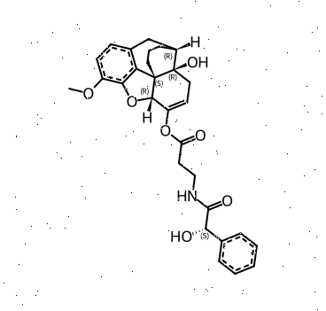 COc1ccc2c3c1O[C@H]1C(OC(=O)CCNC(=O)[C@@H](O)c4ccccc4)=CC[C@@]4(O)[C@H](CCC[C@]314)C2